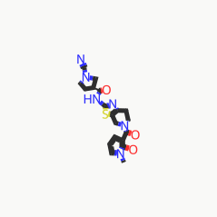 Cn1cccc(C(=O)N2CCc3nc(NC(=O)[C@H]4CCN(C#N)C4)sc3C2)c1=O